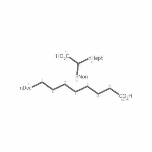 CCCCCCCCCC(CCCCCCC)C(=O)O.CCCCCCCCCCCCCCCCCC(=O)O